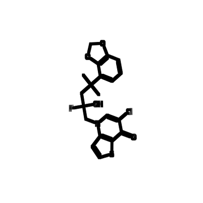 CC(C)(CC(O)(F)Cn1cc(Cl)c(=O)c2sccc21)c1cccc2c1OCO2